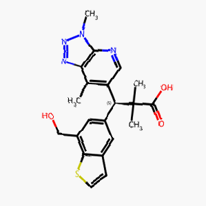 Cc1c([C@H](c2cc(CO)c3sccc3c2)C(C)(C)C(=O)O)cnc2c1nnn2C